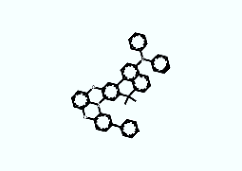 CC1(C)c2cc3c(cc2-c2ccc(N(c4cc#ccc4)c4ccccc4)c4cccc1c24)Oc1cccc2c1B3c1cc(-c3ccccc3)ccc1O2